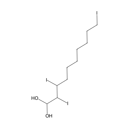 OC(O)C(I)C(I)CCCCCCCI